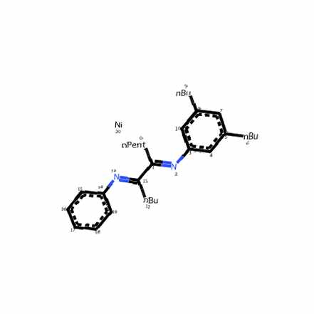 CCCCCC(=N\c1cc(CCCC)cc(CCCC)c1)/C(CCCC)=N/c1ccccc1.[Ni]